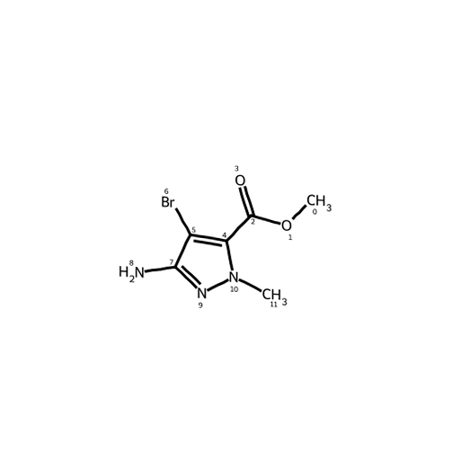 COC(=O)c1c(Br)c(N)nn1C